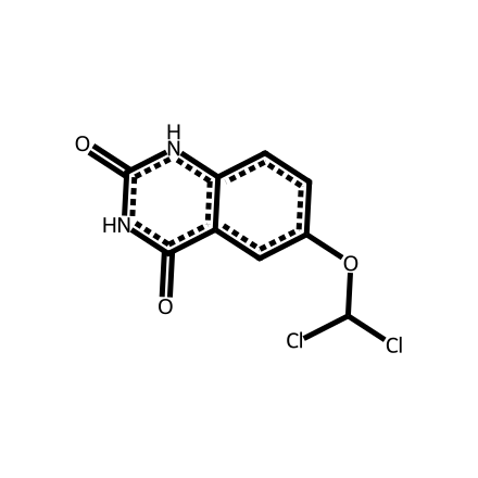 O=c1[nH]c(=O)c2cc(OC(Cl)Cl)ccc2[nH]1